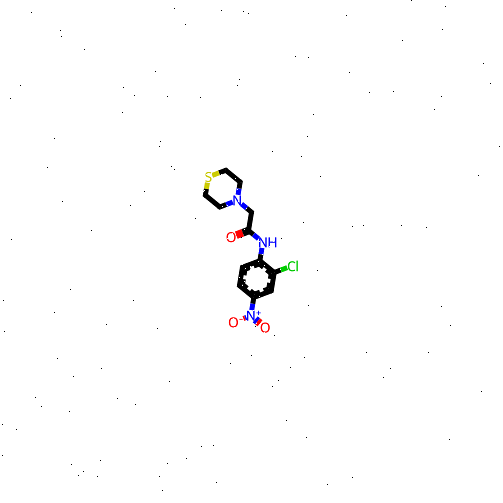 O=C(CN1CCSCC1)Nc1ccc([N+](=O)[O-])cc1Cl